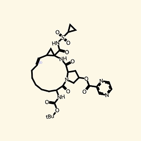 CC(C)(C)OC(=O)NC1CCCCC/C=C/C2CC2(C(=O)NS(=O)(=O)C2CC2)NC(=O)C2CC(OC(=O)c3cnccn3)CN2C1=O